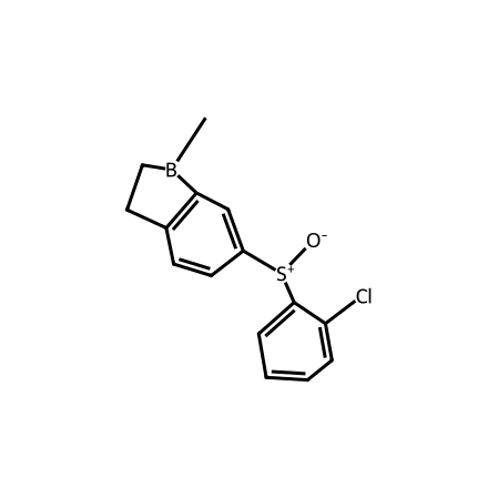 CB1CCc2ccc([S+]([O-])c3ccccc3Cl)cc21